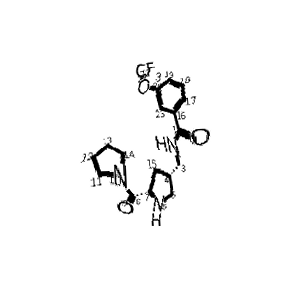 O=C(NC[C@@H]1CN[C@H](C(=O)N2CCCC2)C1)c1cccc(OC(F)(F)F)c1